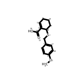 COc1ccc(CSC2CCCC=C2C(=O)O)cc1